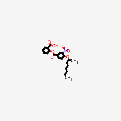 CCCCCCC(C)Oc1ccc(C(=O)Oc2ccccc2C(=O)O)cc1[N+](=O)[O-]